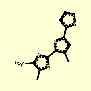 Cc1cc(-c2cccs2)sc1-c1nc(C)c(C(=O)O)s1